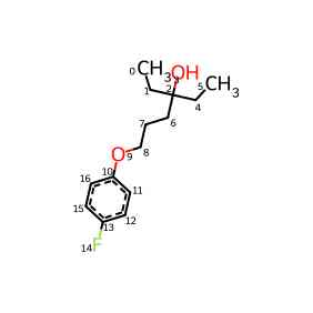 CCC(O)(CC)CCCOc1ccc(F)cc1